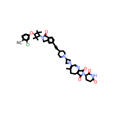 C/C1=C(N2CC(N3CCC(C#Cc4ccc5c(c4)CN([C@H]4C(C)(C)[C@H](Oc6ccc(C#N)c(Cl)c6)C4(C)C)C5=O)CC3)C2)/C=N\C2=C(CC1)C(=O)N(C1CCC(=O)NC1=O)C2=O